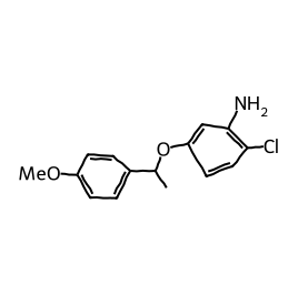 COc1ccc(C(C)Oc2ccc(Cl)c(N)c2)cc1